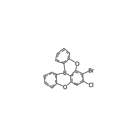 Clc1cc2c3c(c1Br)Oc1ccccc1B3c1ccccc1O2